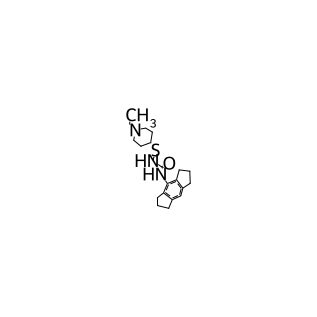 CCN1CCC(SNC(=O)Nc2c3c(cc4c2CCC4)CCC3)CC1